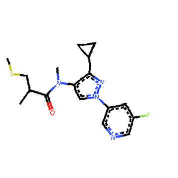 CSCC(C)C(=O)N(C)c1cn(-c2cncc(F)c2)nc1C1CC1